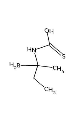 BC(C)(CC)NC(O)=S